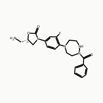 NC[C@H]1CN(c2ccc(N3CCNN(C(=S)c4ccccc4)CC3)c(F)c2)C(=O)O1